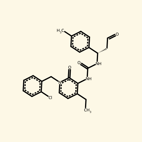 CCc1ccn(Cc2ccccc2Cl)c(=O)c1NC(=O)N[C@@H](CC=O)c1ccc(C)cc1